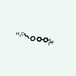 CCCCC[C@H]1CC[C@H](c2ccc(-c3ccc(SC(F)F)cc3)cc2)CC1